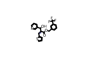 O=C(OCc1cccc(C(F)(F)F)c1)/C(=C\c1cccs1)C(O)c1cccnc1